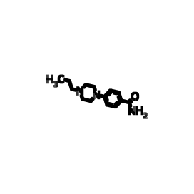 CCCN1CCN(c2ccc(C(N)=O)cc2)CC1